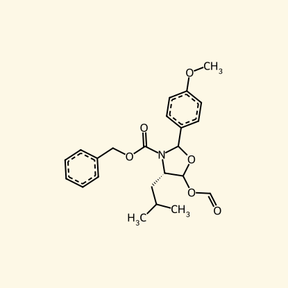 COc1ccc(C2OC(OC=O)[C@H](CC(C)C)N2C(=O)OCc2ccccc2)cc1